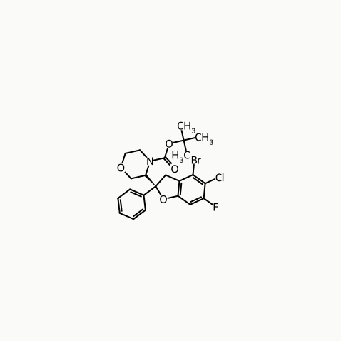 CC(C)(C)OC(=O)N1CCOCC1[C@@]1(c2ccccc2)Cc2c(cc(F)c(Cl)c2Br)O1